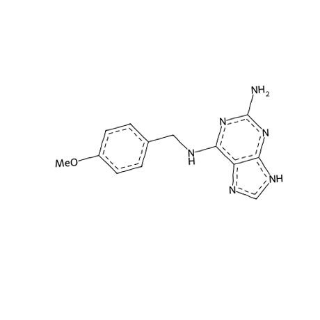 COc1ccc(CNc2nc(N)nc3[nH]cnc23)cc1